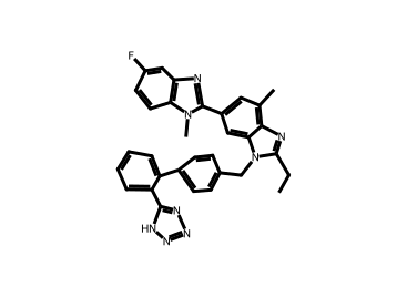 CCc1nc2c(C)cc(-c3nc4cc(F)ccc4n3C)cc2n1Cc1ccc(-c2ccccc2-c2nnn[nH]2)cc1